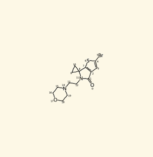 O=C1c2cc(Br)sc2C2(CC2)N1CCN1CCOCC1